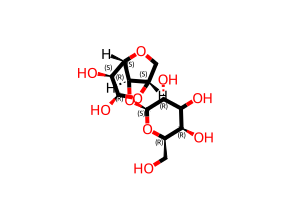 OC[C@H]1O[C@@H](O[C@H]2[C@H]3OC[C@@H]2O[C@@H](O)[C@H]3O)[C@H](O)C(O)[C@H]1O